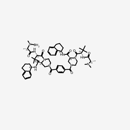 BN(C)[C@@H](C)C(=O)N[C@H](C(=O)N1CCN(C(=O)c2ccc(C(=O)N3CCN(C(=O)[C@@H](NC(=O)[C@H](C)N(C)C)C(C)(C)C)[C@H](C(=O)N[C@@H]4CCCc5ccccc54)C3)cc2)C[C@H]1C(=O)N[C@@H]1CCCc2ccccc21)C(C)(C)C